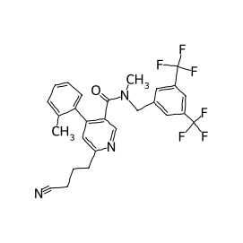 Cc1ccccc1-c1cc(CCCC#N)ncc1C(=O)N(C)Cc1cc(C(F)(F)F)cc(C(F)(F)F)c1